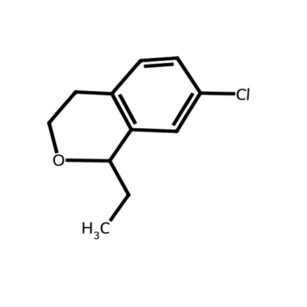 CCC1OCCc2ccc(Cl)cc21